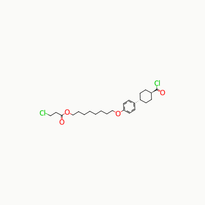 O=C(CCCl)OCCCCCCCCOc1ccc([C@H]2CC[C@H](C(=O)Cl)CC2)cc1